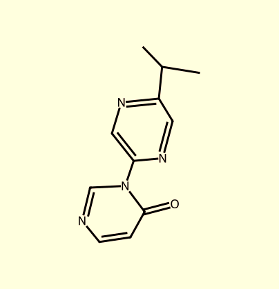 CC(C)c1cnc(-n2cnccc2=O)cn1